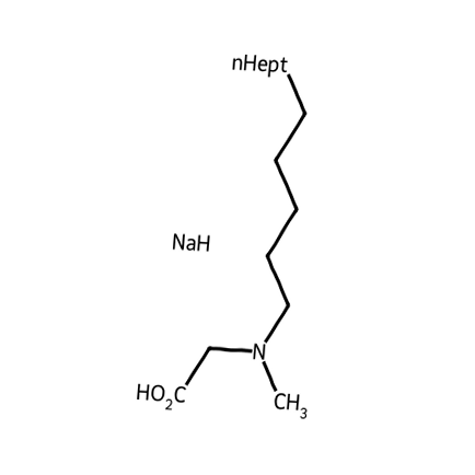 CCCCCCCCCCCCN(C)CC(=O)O.[NaH]